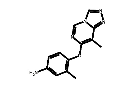 Cc1cc(N)ccc1Oc1ncn2cnnc2c1C